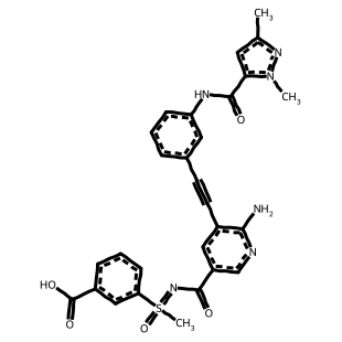 Cc1cc(C(=O)Nc2cccc(C#Cc3cc(C(=O)N=S(C)(=O)c4cccc(C(=O)O)c4)cnc3N)c2)n(C)n1